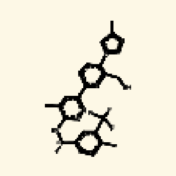 Cc1cn(-c2ccc(-c3cc(C)c(N[C@@H](C)c4ccc(C)c(C(F)(F)F)c4)nn3)nc2CO)cn1